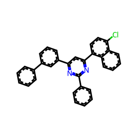 Clc1ccc(-c2cc(-c3cccc(-c4ccccc4)c3)nc(-c3ccccc3)n2)c2ccccc12